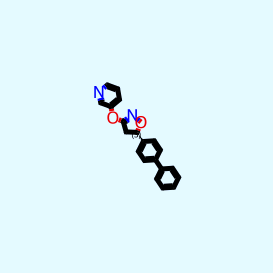 c1ccc(-c2ccc([C@@H]3CC(Oc4cccnc4)=NO3)cc2)cc1